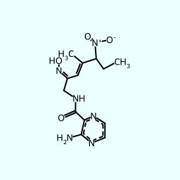 CCC(/C(C)=C/C(CNC(=O)c1nccnc1N)=N\O)[N+](=O)[O-]